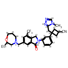 CCC1CN(Cc2cc3c(c(C(F)(F)F)c2)CN(c2cccc(C4(Cc5nncn5C)CC(C#N)C4)c2)C3=O)CCCO1